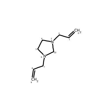 C=CCN1CCN(CC=C)C1